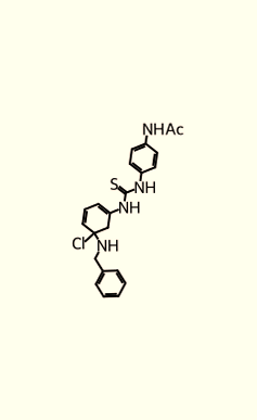 CC(=O)Nc1ccc(NC(=S)NC2=CC=CC(Cl)(NCc3ccccc3)C2)cc1